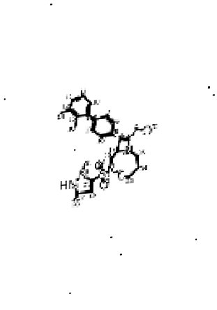 COC[C@@H]1[C@@H](c2ccc(-c3cccc(C)c3C)cc2)C2CN(S(=O)(=O)C3CC(C)NN3C)CCCCN21